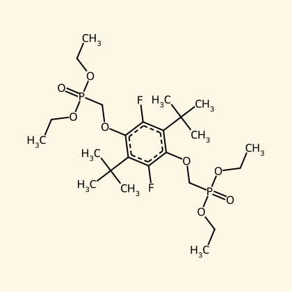 CCOP(=O)(COc1c(F)c(C(C)(C)C)c(OCP(=O)(OCC)OCC)c(F)c1C(C)(C)C)OCC